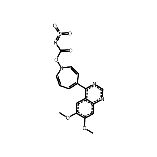 COc1cc2ncnc(C3=CC=CN(OC(=O)N=S(=O)=O)C=C3)c2cc1OC